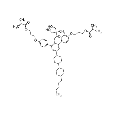 C=C(C)C(=O)OCCCOc1ccc(-c2cc(C3CCC(C4CCC(CCCCC)CC4)CC3)cc(-c3ccc(OCCCOC(=O)C(=C)C)cc3)c2OC(=O)C(C)(CO)CO)cc1